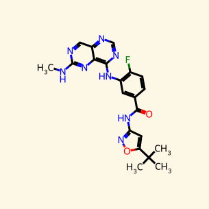 CNc1ncc2ncnc(Nc3cc(C(=O)Nc4cc(C(C)(C)C)on4)ccc3F)c2n1